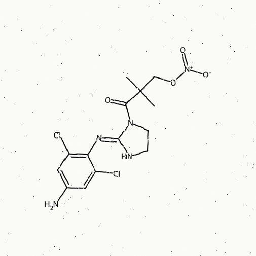 CC(C)(CO[N+](=O)[O-])C(=O)N1CCN/C1=N\c1c(Cl)cc(N)cc1Cl